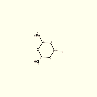 CCCCC1CN(C)CCO1.Cl